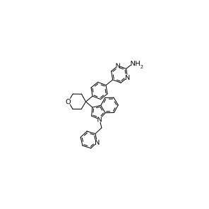 Nc1ncc(-c2ccc(C3(c4cn(Cc5ccccn5)c5ccccc45)CCOCC3)cc2)cn1